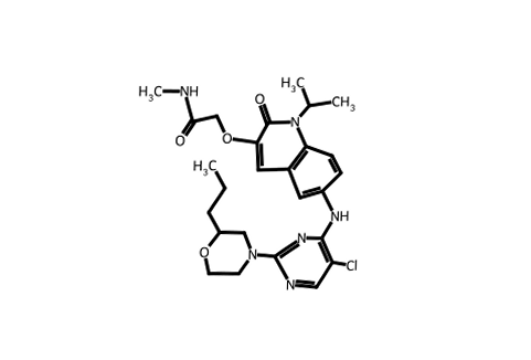 CCCC1CN(c2ncc(Cl)c(Nc3ccc4c(c3)cc(OCC(=O)NC)c(=O)n4C(C)C)n2)CCO1